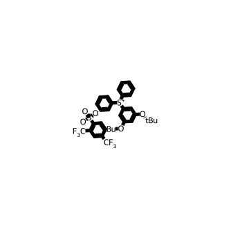 CC(C)(C)Oc1cc(OC(C)(C)C)cc([S+](c2ccccc2)c2ccccc2)c1.O=S(=O)([O-])c1ccc(C(F)(F)F)cc1C(F)(F)F